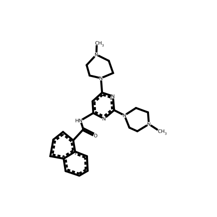 CN1CCN(c2cc(NC(=O)c3cccc4ccccc34)nc(N3CCN(C)CC3)n2)CC1